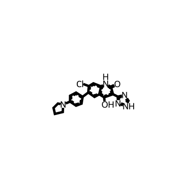 O=c1[nH]c2cc(Cl)c(-c3ccc(N4CCCC4)cc3)cc2c(O)c1-c1nc[nH]n1